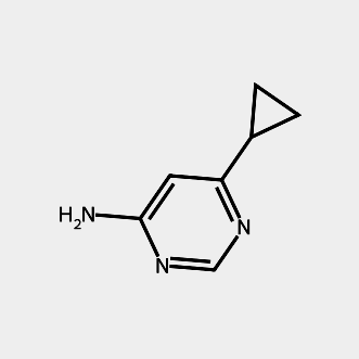 Nc1cc(C2CC2)ncn1